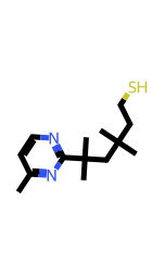 Cc1ccnc(C(C)(C)CC(C)(C)CCS)n1